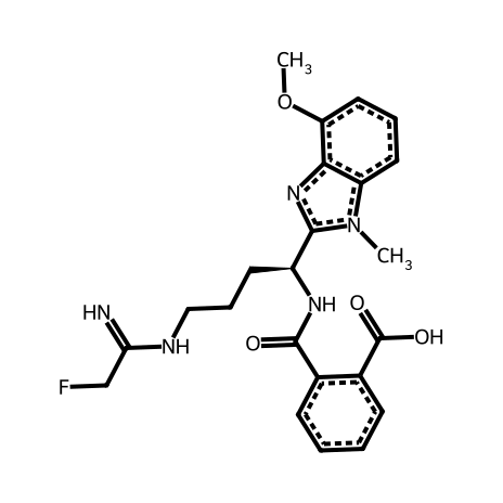 COc1cccc2c1nc([C@H](CCCNC(=N)CF)NC(=O)c1ccccc1C(=O)O)n2C